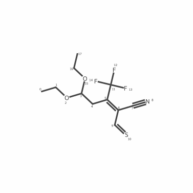 CCOC(CC(=C(C#N)C=S)C(F)(F)F)OCC